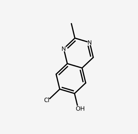 Cc1ncc2cc(O)c(Cl)cc2n1